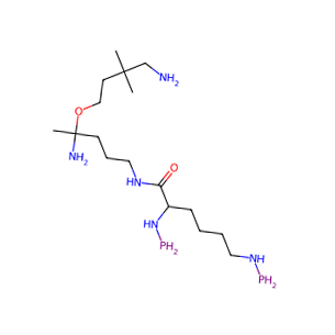 CC(C)(CN)CCOC(C)(N)CCCNC(=O)C(CCCCNP)NP